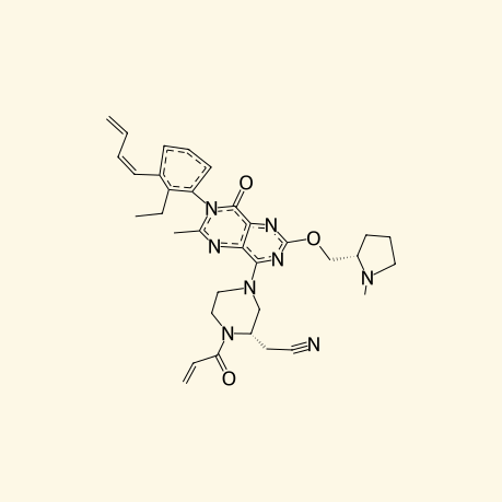 C=C/C=C\c1cccc(-n2c(C)nc3c(N4CCN(C(=O)C=C)[C@@H](CC#N)C4)nc(OC[C@@H]4CCCN4C)nc3c2=O)c1CC